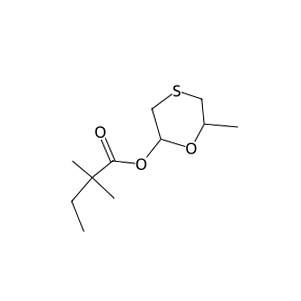 CCC(C)(C)C(=O)OC1CSCC(C)O1